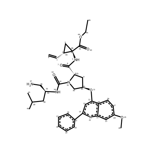 C=C[C@@H]1C[C@]1(NC(=O)[C@@H]1C[C@@H](Oc2cc(-c3ccccc3)nc3cc(OC)ccc23)CN1C(=O)N[C@H](CN)CC(C)C)C(=O)OCC